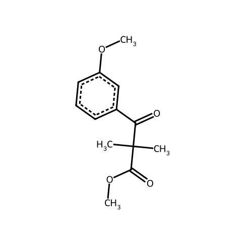 COC(=O)C(C)(C)C(=O)c1cccc(OC)c1